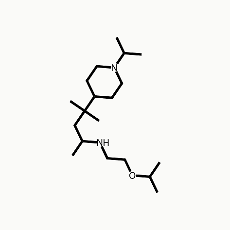 CC(CC(C)(C)C1CCN(C(C)C)CC1)NCCOC(C)C